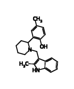 Cc1ccc(O)c(C2CCCCN2Cc2c(C)[nH]c3ccccc23)c1